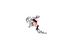 CCOC(C)(COCCOC)OCC